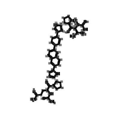 CC(=O)N[C@@H](CCC(N)=O)C(=O)N1CCC[C@H]1c1ncc(-c2ccc3nc(-c4ccc(-c5c[nH]c([C@@H]6CCCN6C(=O)[C@H](C(C)C)N(C)C(=O)O)n5)cc4)cnc3c2)[nH]1